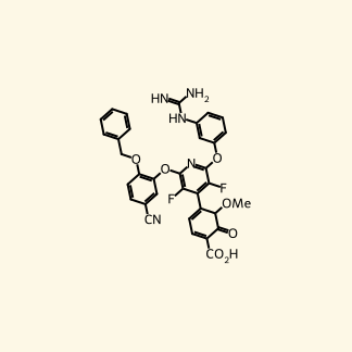 COC1C(=O)C(C(=O)O)=CC=C1c1c(F)c(Oc2cccc(NC(=N)N)c2)nc(Oc2cc(C#N)ccc2OCc2ccccc2)c1F